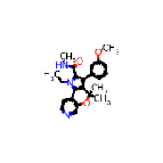 CCn1c(C(=O)NC)c(-c2cccc(OC)c2)c2c1-c1ccncc1OC2(C)C